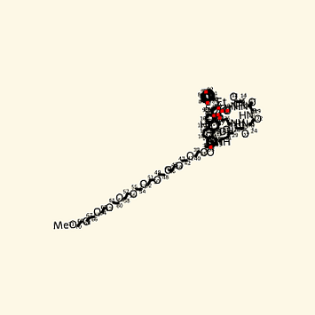 CCC(=O)OC1(C(=O)COCNC(=O)[C@H](C)NC(=O)[C@H](C)NC(=O)[C@H](C)NC(=O)[C@H](CCCCNC(=O)CCOCCOCCOCCOCCOCCOCCOCCOCCOCCOCCOCCOC)NC(=O)CCN2C(=O)C(Sc3ccccc3)=C(Sc3ccccc3)C2=O)[C@@H](C)C[C@H]2[C@@H]3CCC4=CC(=O)C=C[C@]4(C)[C@@]3(Cl)[C@@H](O)C[C@@]21C